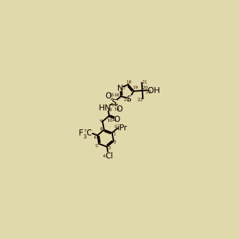 CC(C)c1cc(Cl)cc(C(F)(F)F)c1CC(=O)NS(=O)(=O)c1ncc(C(C)(C)O)s1